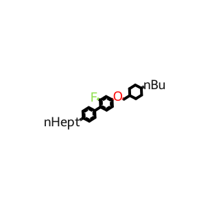 CCCCCCCc1ccc(-c2ccc(OCC3CCC(CCCC)CC3)cc2F)cc1